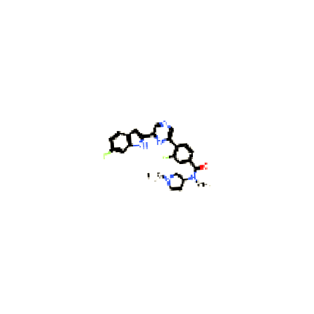 CN1CCC(N(C)C(=O)c2ccc(-c3cncc(-c4cc5ccc(F)cc5[nH]4)n3)c(F)c2)C1